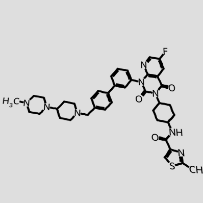 Cc1nc(C(=O)NC2CCC(n3c(=O)c4cc(F)cnc4n(-c4cccc(-c5ccc(CN6CCC(N7CCN(C)CC7)CC6)cc5)c4)c3=O)CC2)cs1